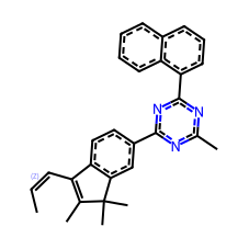 C/C=C\C1=C(C)C(C)(C)c2cc(-c3nc(C)nc(-c4cccc5ccccc45)n3)ccc21